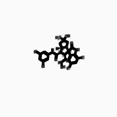 C[C@]1(O)C[C@@H]2[C@H](C(=O)Nc3cc(Cl)cc(Cl)c3)[C@H](C(=O)NO)[C@@]3(C(=O)Nc4c(Cl)cc(Cl)cc43)N2C1